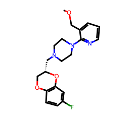 COCc1cccnc1N1CCN(C[C@H]2COc3ccc(F)cc3O2)CC1